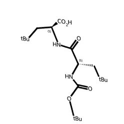 CC(C)(C)C[C@H](NC(=O)[C@H](CC(C)(C)C)NC(=O)OC(C)(C)C)C(=O)O